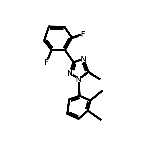 Cc1cccc(-n2nc(-c3c(F)cccc3F)nc2C)c1C